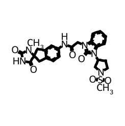 CN1C(=O)NC(=O)C12Cc1ccc(NC(=O)Cn3c(=O)n(C4CCN(S(C)(=O)=O)C4)c4ccccc43)cc1C2